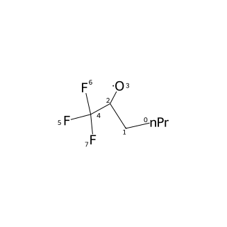 CCCCC([O])C(F)(F)F